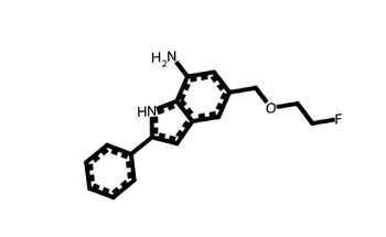 Nc1cc(COCCF)cc2cc(-c3ccccc3)[nH]c12